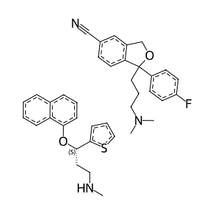 CN(C)CCCC1(c2ccc(F)cc2)OCc2cc(C#N)ccc21.CNCC[C@H](Oc1cccc2ccccc12)c1cccs1